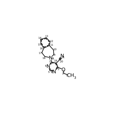 CCOc1ncnc(N2CCc3ccccc3CC2)c1C#N